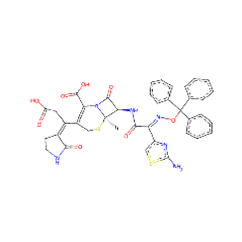 Nc1nc(C(=NOC(c2ccccc2)(c2ccccc2)c2ccccc2)C(=O)N[C@@H]2C(=O)N3C(C(=O)O)=C(C(CC(=O)O)=C4CCNC4=O)CS[C@H]23)cs1